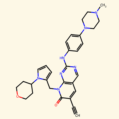 C#Cc1cc2cnc(Nc3ccc(N4CCN(C)CC4)cc3)nc2n(Cc2cccn2C2CCOCC2)c1=O